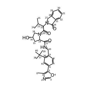 Cc1ncoc1-c1ccc(CNC(=O)C2CC(O)CN2C(=O)C(C(C)C)N2Cc3ccccc3C2=O)c(C(C)(C)C)c1